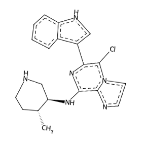 C[C@@H]1CCNC[C@H]1Nc1nc(-c2c[nH]c3ccccc23)c(Cl)n2ccnc12